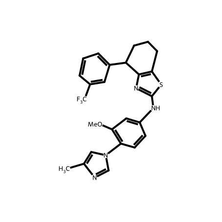 COc1cc(Nc2nc3c(s2)CCCC3c2cccc(C(F)(F)F)c2)ccc1-n1cnc(C)c1